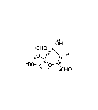 C[C@@H]1C(C=O)O[C@@](CC(C)(C)C)(OC=O)C[C@@H]1O